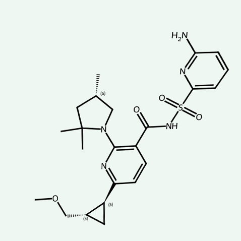 COC[C@H]1C[C@@H]1c1ccc(C(=O)NS(=O)(=O)c2cccc(N)n2)c(N2C[C@@H](C)CC2(C)C)n1